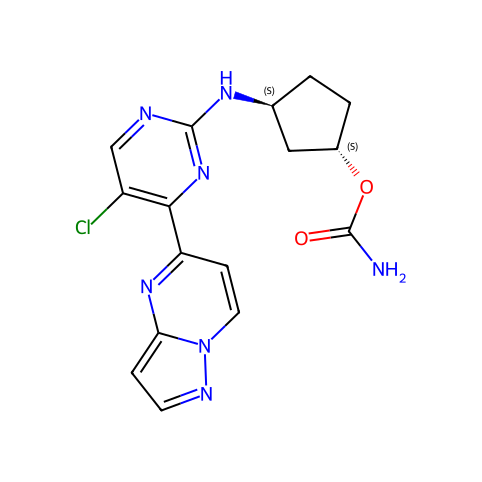 NC(=O)O[C@H]1CC[C@H](Nc2ncc(Cl)c(-c3ccn4nccc4n3)n2)C1